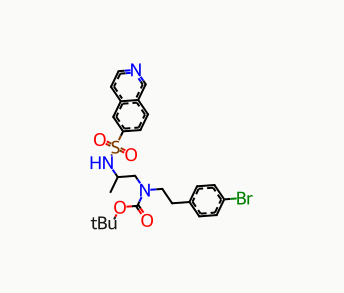 CC(CN(CCc1ccc(Br)cc1)C(=O)OC(C)(C)C)NS(=O)(=O)c1ccc2cnccc2c1